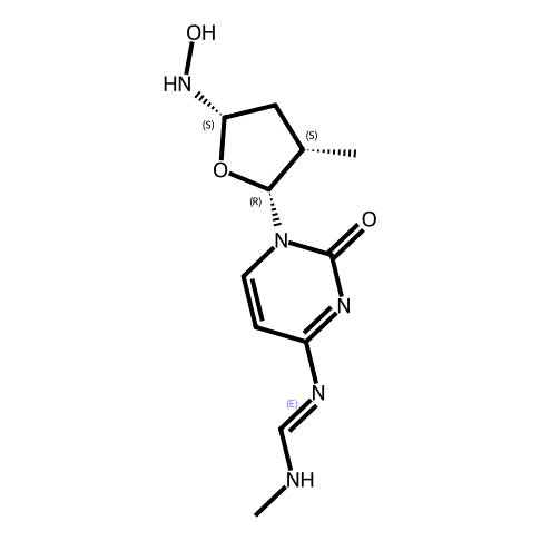 CN/C=N/c1ccn([C@@H]2O[C@H](NO)C[C@@H]2C)c(=O)n1